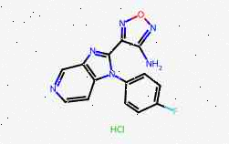 Cl.Nc1nonc1-c1nc2cnccc2n1-c1ccc(F)cc1